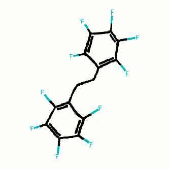 Fc1c(F)c(F)c(CCc2c(F)c(F)c(F)c(F)c2F)c(F)c1F